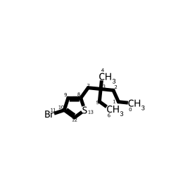 CCCC(C)(CC)Cc1cc(Br)cs1